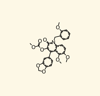 COC(=O)Oc1c(-c2ccc3c(c2)OCO3)c2c(OC)c(OC)ccc2n(Cc2ccccc2OC)c1=O